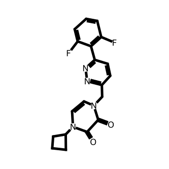 O=c1c(=O)n(C2CCC2)ccn1Cc1ccc(-c2c(F)cccc2F)nn1